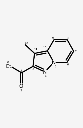 CCC(=O)c1nn2ccccc2c1C